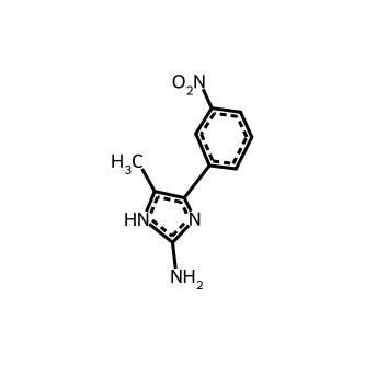 Cc1[nH]c(N)nc1-c1cccc([N+](=O)[O-])c1